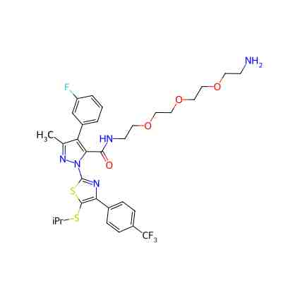 Cc1nn(-c2nc(-c3ccc(C(F)(F)F)cc3)c(SC(C)C)s2)c(C(=O)NCCOCCOCCOCCN)c1-c1cccc(F)c1